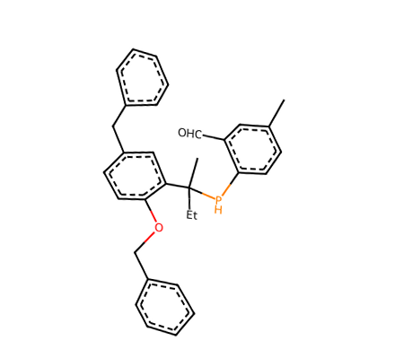 CCC(C)(Pc1ccc(C)cc1C=O)c1cc(Cc2ccccc2)ccc1OCc1ccccc1